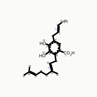 CCC/C=C/Cc1cc(C(=O)O)c(C/C=C(\C)CCC=C(C)C)c(O)c1O